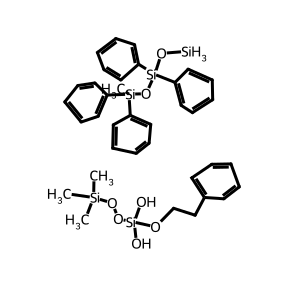 C[Si](C)(C)OO[Si](O)(O)OCCc1ccccc1.C[Si](O[Si](O[SiH3])(c1ccccc1)c1ccccc1)(c1ccccc1)c1ccccc1